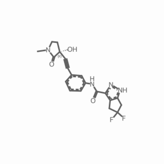 CN1CC[C@@](O)(C#Cc2cccc(NC(=O)c3n[nH]c4c3CC(F)(F)C4)c2)C1=O